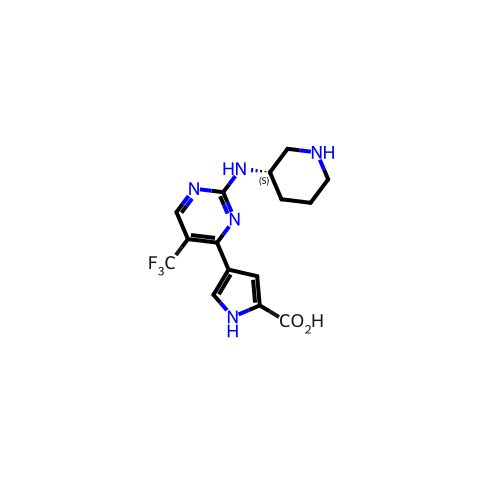 O=C(O)c1cc(-c2nc(N[C@H]3CCCNC3)ncc2C(F)(F)F)c[nH]1